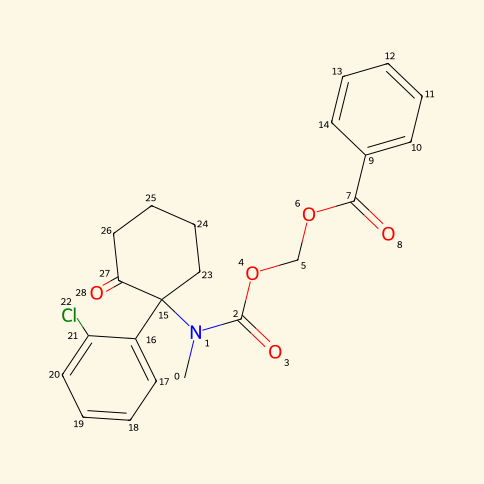 CN(C(=O)OCOC(=O)c1ccccc1)C1(c2ccccc2Cl)CCCCC1=O